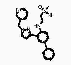 CS(=N)(=O)CCNc1ccc(-c2ccccc2)cc1-c1ccn(Cc2cccnc2)n1